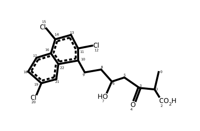 CC(C(=O)O)C(=O)CC(O)CCc1c(Cl)cc(Cl)c2ccc(Cl)cc12